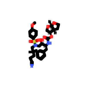 COc1ccc(S(=O)(=O)N(C[C@@H](O)[C@H](Cc2ccccc2)NC(=O)O[C@@H]2CO[C@H]3OCC[C@H]32)CC(C)(C)CCC#N)cc1